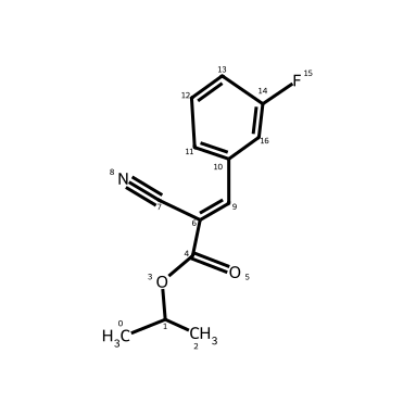 CC(C)OC(=O)/C(C#N)=C/c1cccc(F)c1